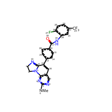 CNc1ncc2c(n1)N1CCN=C1C(c1ccc(C(=O)Nc3cc(C(F)(F)F)ccc3F)cc1)=C2